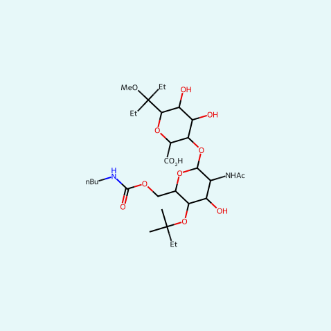 CCCCNC(=O)OCC1OC(OC2C(C(=O)O)OC(C(CC)(CC)OC)C(O)C2O)C(NC(C)=O)C(O)C1OC(C)(C)CC